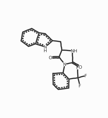 O=C1NC(Cc2cc3ccccc3[nH]2)C(=O)N1c1ccccc1C(F)(F)F